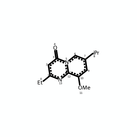 CCc1cc(=O)n2cc(C(C)C)cc(OC)c2n1